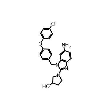 Nc1ccc2nc(N3CCC(O)C3)n(Cc3ccc(Oc4ccc(Cl)cc4)cc3)c2c1